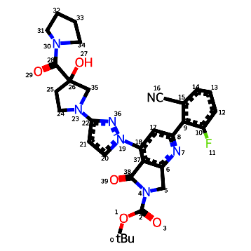 CC(C)(C)OC(=O)N1Cc2nc(-c3c(F)cccc3C#N)cc(-n3ccc(N4CCC(O)(C(=O)N5CCCC5)C4)n3)c2C1=O